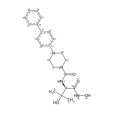 CC(C)(O)[C@@H](NC(=O)N1CCN(c2ccc(-c3ccccc3)cc2)CC1)C(=O)NO